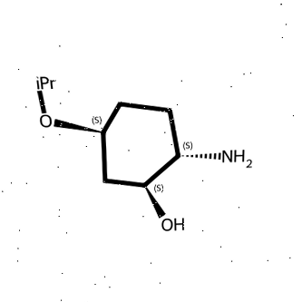 CC(C)O[C@H]1CC[C@H](N)[C@@H](O)C1